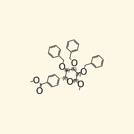 COC(=O)c1ccc([C@H]2O[C@@H](OC)[C@H](OCc3ccccc3)[C@@H](OCc3ccccc3)[C@@H]2OCc2ccccc2)cc1